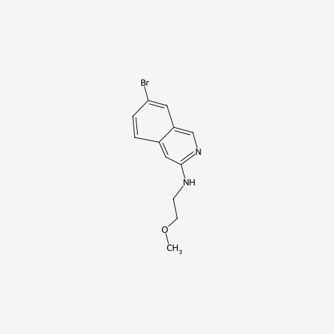 COCCNc1cc2ccc(Br)cc2cn1